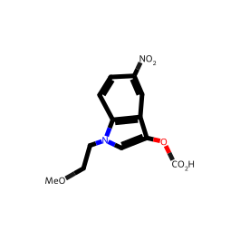 COCCn1cc(OC(=O)O)c2cc([N+](=O)[O-])ccc21